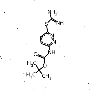 CC(C)(C)OC(=O)Nc1ccc(SC(=N)N)nn1